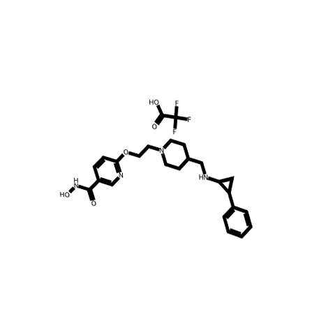 O=C(NO)c1ccc(OCCN2CCC(CNC3CC3c3ccccc3)CC2)nc1.O=C(O)C(F)(F)F